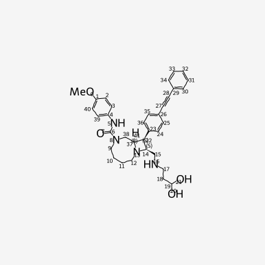 COc1ccc(NC(=O)N2CCCCN3[C@H](CNCCC(O)O)[C@H](c4ccc(C#Cc5ccccc5)cc4)[C@@H]3C2)cc1